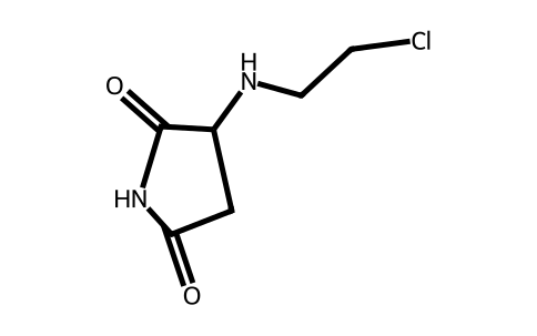 O=C1CC(NCCCl)C(=O)N1